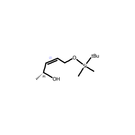 C[C@@H](O)/C=C\CO[Si](C)(C)C(C)(C)C